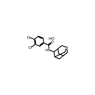 Cl.O=C(NC1C2CC3CC1CN(C3)C2)c1ccc(Cl)c(Cl)c1